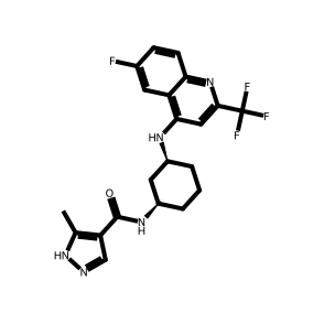 Cc1[nH]ncc1C(=O)N[C@@H]1CCC[C@H](Nc2cc(C(F)(F)F)nc3ccc(F)cc23)C1